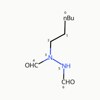 CCCCCCN(C=O)NC=O